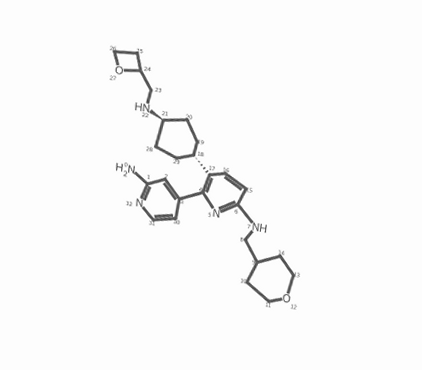 Nc1cc(-c2nc(NCC3CCOCC3)ccc2[C@H]2CC[C@H](NCC3CCO3)CC2)ccn1